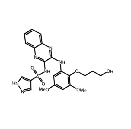 COc1cc(Nc2nc3ccccc3nc2NS(=O)(=O)c2cn[nH]c2)c(OCCCO)c(OC)c1